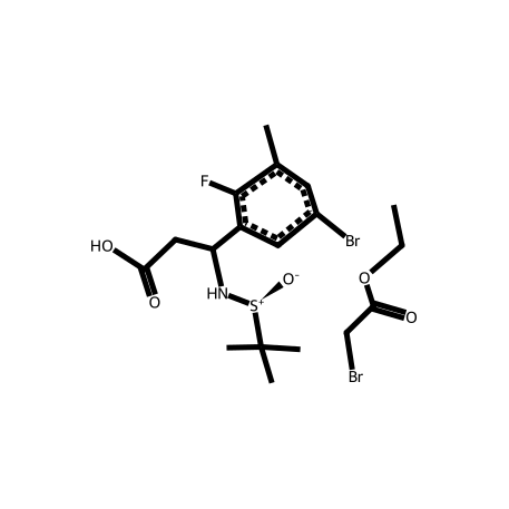 CCOC(=O)CBr.Cc1cc(Br)cc(C(CC(=O)O)N[S@@+]([O-])C(C)(C)C)c1F